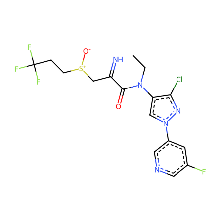 CCN(C(=O)C(=N)C[S+]([O-])CCC(F)(F)F)c1cn(-c2cncc(F)c2)nc1Cl